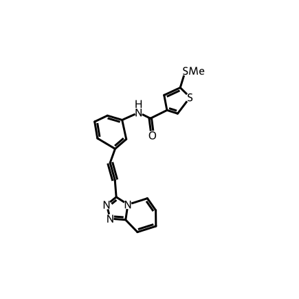 CSc1cc(C(=O)Nc2cccc(C#Cc3nnc4ccccn34)c2)cs1